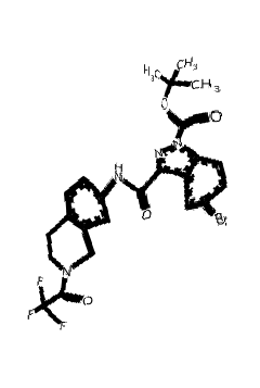 CC(C)(C)OC(=O)n1nc(C(=O)Nc2ccc3c(c2)CN(C(=O)C(F)(F)F)CC3)c2cc(Br)ccc21